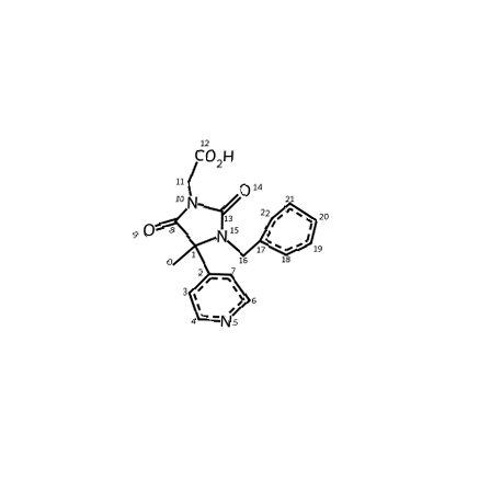 CC1(c2ccncc2)C(=O)N(CC(=O)O)C(=O)N1Cc1ccccc1